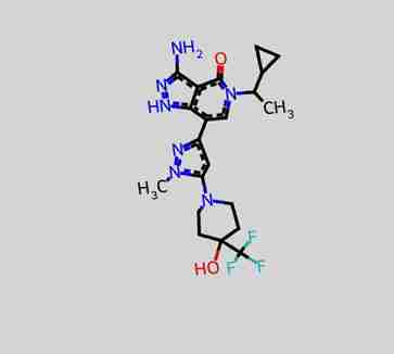 CC(C1CC1)n1cc(-c2cc(N3CCC(O)(C(F)(F)F)CC3)n(C)n2)c2[nH]nc(N)c2c1=O